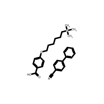 C[Si](C)(C)CCCCCCOc1ccc(C(=O)O)cc1.N#Cc1ccc(-c2ccccc2)cc1